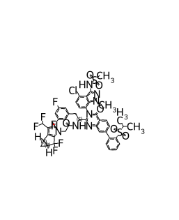 CC(C)S(=O)(=O)c1ccccc1-c1ccc2c(=O)n(-c3ccc(Cl)c4c(NS(C)(=O)=O)nn(C)c34)c([C@H](Cc3cc(F)cc(F)c3)NC(=O)Cn3nc(C(F)F)c4c3C(F)(F)[C@@H]3C[C@H]43)nc2c1